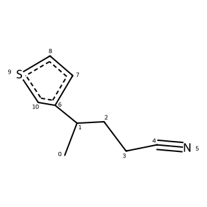 CC(CCC#N)c1ccsc1